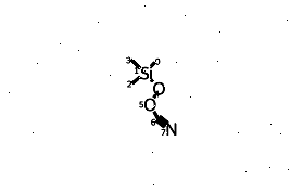 C[Si](C)(C)OOC#N